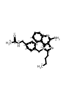 CCCCc1nc2c(N)nc3ccccc3c2n1Cc1ccc(CNC(C)=O)cc1